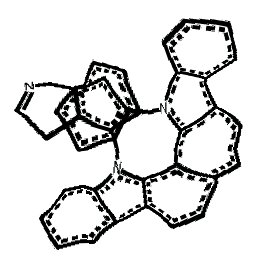 C1=Nc2cccc(-n3c4ccccc4c4ccc5ccc6c7ccccc7n(-c7ccccc7)c6c5c43)c2C1